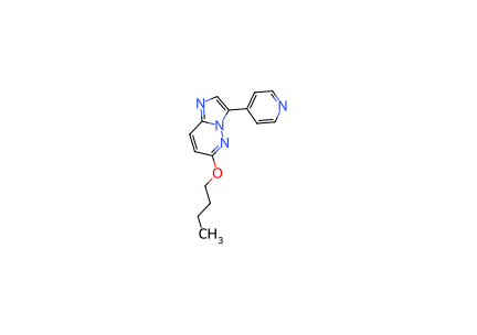 CCCCOc1ccc2ncc(-c3ccncc3)n2n1